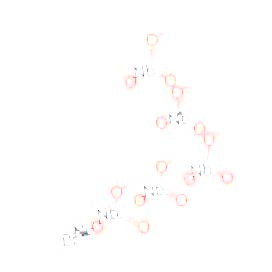 [Bi+3].[Ni+2].[O]=[Nb](=[O])[O-].[O]=[Nb](=[O])[O-].[O]=[Nb](=[O])[O-].[O]=[Nb](=[O])[O-].[O]=[Nb](=[O])[O-]